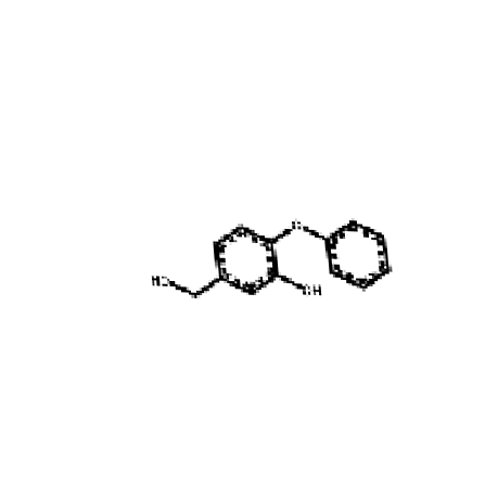 OCc1ccc(Oc2ccccc2)c(O)c1